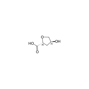 O=C(O)[C@H]1C[C@H](O)CO1